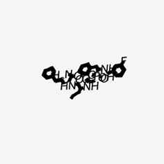 CCCC(NC(=O)CP(=O)(O)C(Cc1ccccc1)NC(=O)c1cccc(F)c1)C(=O)N[C@@H](C/C=C/c1ccccc1)C(N)=O